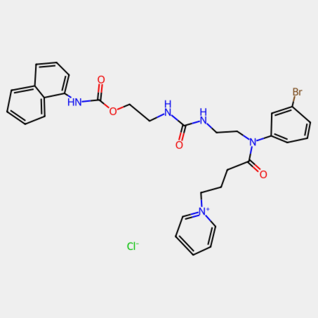 O=C(NCCOC(=O)Nc1cccc2ccccc12)NCCN(C(=O)CCC[n+]1ccccc1)c1cccc(Br)c1.[Cl-]